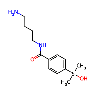 C[Si](C)(O)c1ccc(C(=O)NCCCCN)cc1